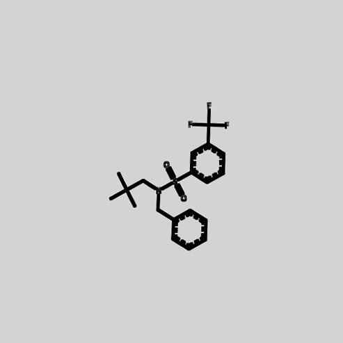 CC(C)(C)CN(Cc1ccccc1)S(=O)(=O)c1cccc(C(F)(F)F)c1